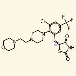 O=C1NC(=O)/C(=C\c2cc(C(F)(F)F)cc(Cl)c2N2CCN(CCN3CCOCC3)CC2)S1